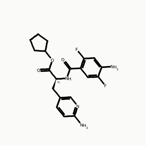 Nc1ccc(C[C@H](NC(=O)c2cc(F)c(N)cc2F)C(=O)OC2CCCC2)cn1